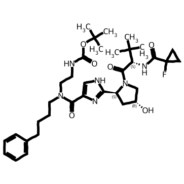 CC(C)(C)OC(=O)NCCN(CCCCc1ccccc1)C(=O)c1c[nH]c([C@@H]2C[C@@H](O)CN2C(=O)[C@@H](NC(=O)C2(F)CC2)C(C)(C)C)n1